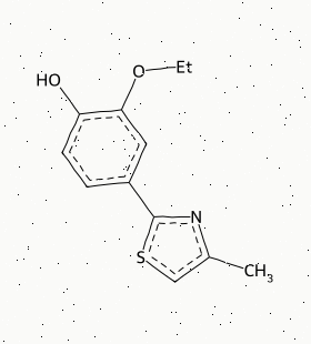 CCOc1cc(-c2nc(C)cs2)ccc1O